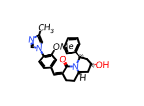 COc1cc(C=C2CC[C@H]3C[C@@H](O)C[C@H](c4ccccc4)N3C2=O)ccc1-n1cnc(C)c1